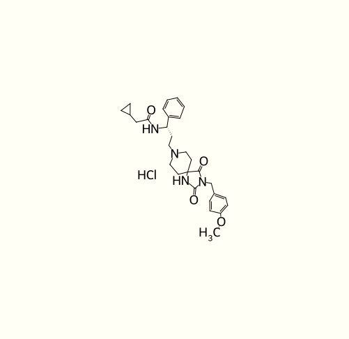 COc1ccc(CN2C(=O)NC3(CCN(CC[C@H](NC(=O)CC4CC4)c4ccccc4)CC3)C2=O)cc1.Cl